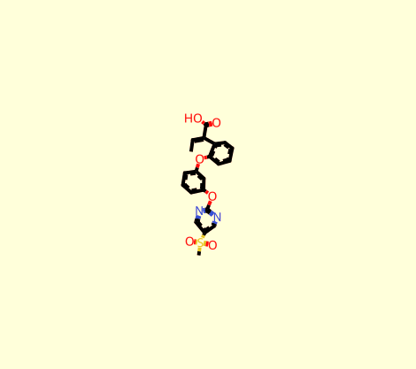 C/C=C(/C(=O)O)c1ccccc1Oc1cccc(Oc2ncc(S(C)(=O)=O)cn2)c1